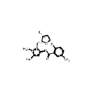 Cn1c(C(C)(C)C)cc(=NC(=O)c2cc(C(F)(F)F)ccc2F)n1C[C@H]1OCC[C@H]1F